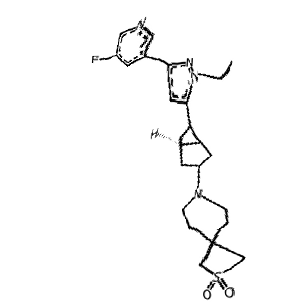 CCn1nc(-c2cncc(F)c2)cc1C1C2CC(N3CCC4(CC3)CS(=O)(=O)C4)C[C@H]21